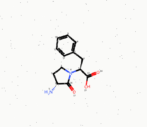 N[C@@H]1CCN([C@@H](Cc2ccccc2)C(=O)O)C1=O